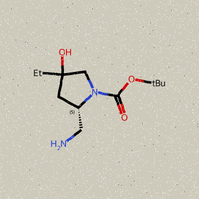 CCC1(O)C[C@@H](CN)N(C(=O)OC(C)(C)C)C1